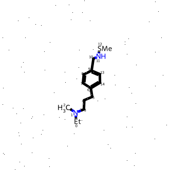 CCN(C)CCCc1ccc(CNSC)cc1